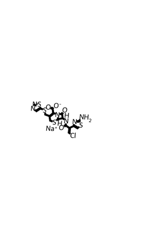 Nc1nc(/C(=C\Cl)C(=O)NC2C(=O)N3C(C(=O)[O-])=C(CSc4cnns4)CS[C@H]23)cs1.[Na+]